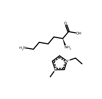 CC[n+]1ccn(C)c1.NCCCC[C@H](N)C(=O)O